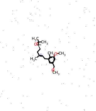 COCc1cc(C/C=C(\C)CC[C@H]2OC2(C)C)c(C)c(OC)c1